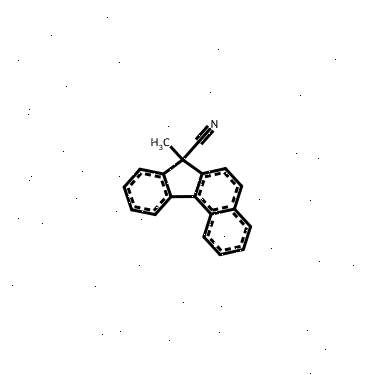 CC1(C#N)c2ccccc2-c2c1ccc1ccccc21